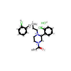 CCCC(=O)N1CCN(CCOC(C)=O)C(c2ccccc2Cl)C1.CCc1ccccc1Cl.Cl